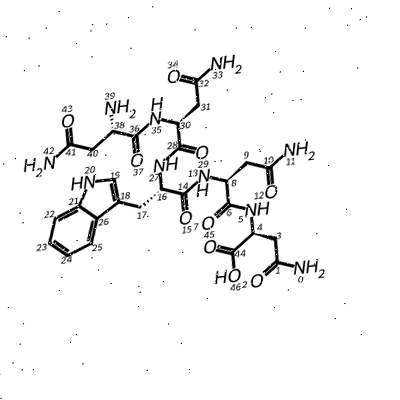 NC(=O)C[C@H](NC(=O)[C@H](CC(N)=O)NC(=O)[C@H](Cc1c[nH]c2ccccc12)NC(=O)[C@H](CC(N)=O)NC(=O)[C@@H](N)CC(N)=O)C(=O)O